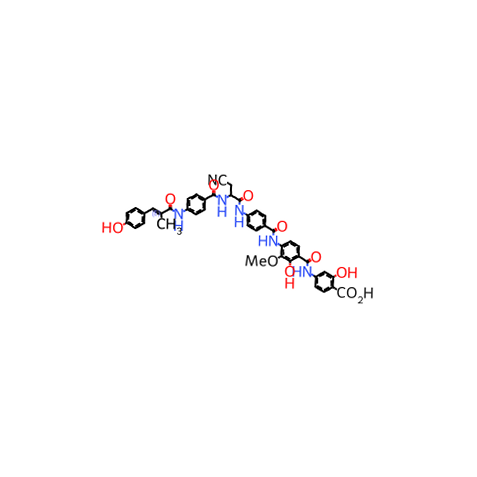 COc1c(NC(=O)c2ccc(NC(=O)C(CC#N)NC(=O)c3ccc(NC(=O)/C(C)=C/c4ccc(O)cc4)cc3)cc2)ccc(C(=O)Nc2ccc(C(=O)O)c(O)c2)c1O